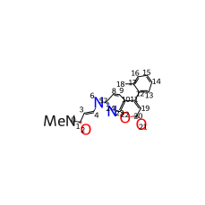 CNC(=O)C=CN(C)c1ccc2c(-c3ccccc3C)cc(=O)oc2n1